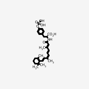 CC1=C(/C=C/C(C)=C\C=C\C(C)=C\C(=O)N[C@@H](Cc2ccc(OP(=O)(O)O)cc2)C(=O)O)C(C)(C)CCC1